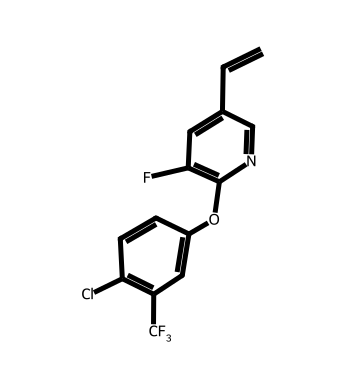 C=Cc1cnc(Oc2ccc(Cl)c(C(F)(F)F)c2)c(F)c1